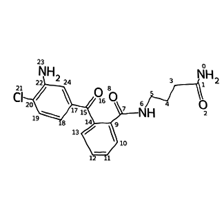 NC(=O)CCCNC(=O)c1ccccc1C(=O)c1ccc(Cl)c(N)c1